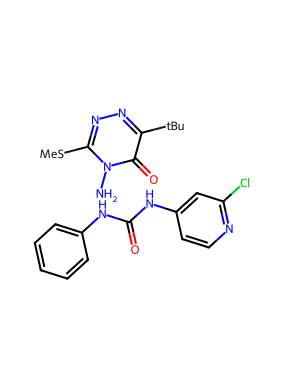 CSc1nnc(C(C)(C)C)c(=O)n1N.O=C(Nc1ccccc1)Nc1ccnc(Cl)c1